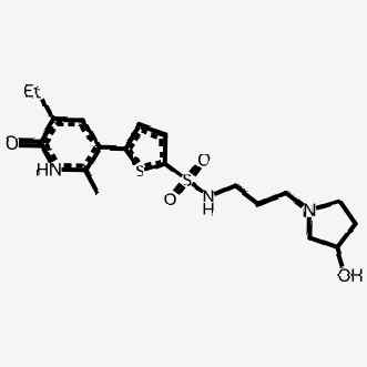 CCc1cc(-c2ccc(S(=O)(=O)NCCCN3CCC(O)C3)s2)c(C)[nH]c1=O